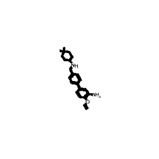 C=COc1ccc(-c2ccc(CNC3CCC(C)(C)CC3)cc2)cc1N